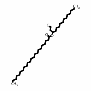 CCCCCCCCCCCCCCCCCCCCCC(=O)OC(CC=O)CCCCCCCCCCCC